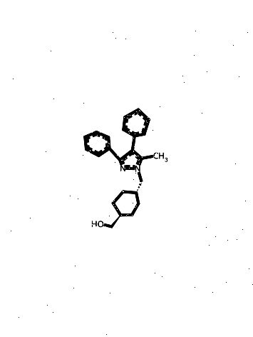 Cc1c(-c2ccccc2)c(-c2ccccc2)nn1C[C@H]1CC[C@H](CO)CC1